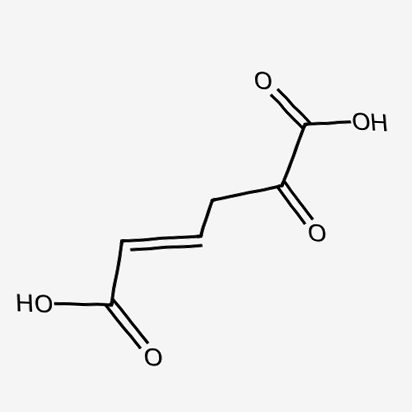 O=C(O)/C=C/CC(=O)C(=O)O